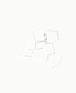 C[Si](C)=[Ti]([CH3])([CH3])([C]1=CC=CC1)[CH]1c2ccccc2-c2ccccc21